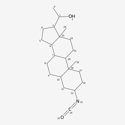 CC(O)C1CCC2C3CCC4CC(N=C=O)CCC4(C)C3CCC12C